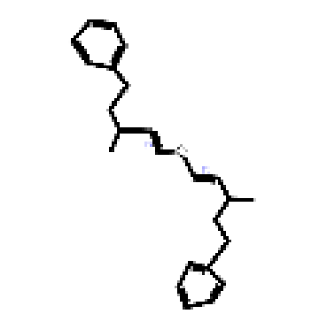 CC(/C=C/O/C=C/C(C)CCc1ccccc1)CCc1ccccc1